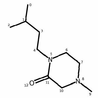 CC(C)CCN1CCN(C)CC1=O